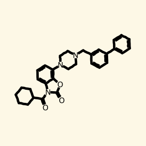 O=C(C1CCCCC1)n1c(=O)oc2c(N3CCN(Cc4cccc(-c5ccccc5)c4)CC3)cccc21